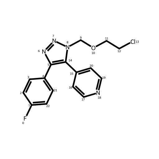 Fc1ccc(-c2nnn(COCCCl)c2-c2ccncc2)cc1